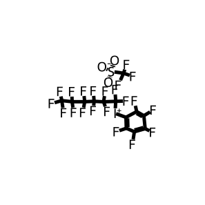 Fc1c(F)c(F)c([I+]C(F)(F)C(F)(F)C(F)(F)C(F)(F)C(F)(F)C(F)(F)F)c(F)c1F.O=S(=O)([O-])C(F)(F)F